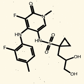 Cc1ccc(Nc2c(NS(=O)(=O)C3(CC(O)CO)CC3)cn(C)c(=O)c2F)c(F)c1